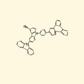 N#Cc1ccc2c(c1)c1cc(-n3c4ccccc4c4ccccc43)ccc1n2-c1ccc(-c2ccc3c4ccccc4c4ccccc4c3c2)cc1